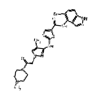 Cc1cn(CC(=O)N2CCN(C)CC2)nc1Nc1ncc(C(=O)Nc2c(Br)ccc3[nH]ncc23)s1